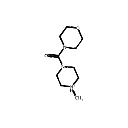 [CH2-][NH+]1CCN(C(=O)N2CCOCC2)CC1